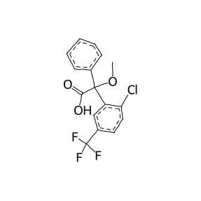 COC(C(=O)O)(c1ccccc1)c1cc(C(F)(F)F)ccc1Cl